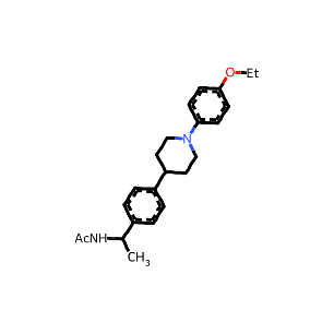 CCOc1ccc(N2CCC(c3ccc(C(C)NC(C)=O)cc3)CC2)cc1